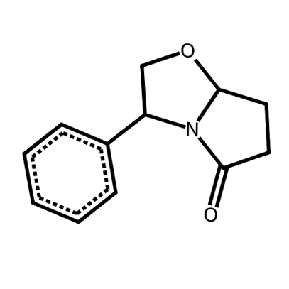 O=C1CCC2OCC(c3ccccc3)N12